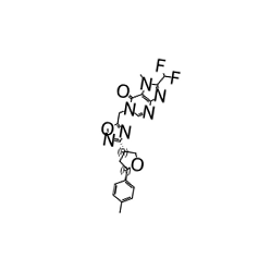 Cc1ccc([C@H]2C[C@H](c3noc(Cn4cnc5nc(C(F)F)n(C)c5c4=O)n3)CO2)cc1